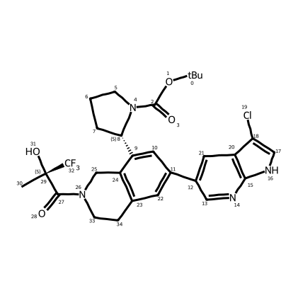 CC(C)(C)OC(=O)N1CCC[C@H]1c1cc(-c2cnc3[nH]cc(Cl)c3c2)cc2c1CN(C(=O)[C@](C)(O)C(F)(F)F)CC2